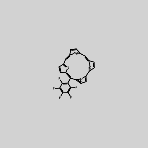 Fc1c(F)c(F)c(C2=C3C=CC(=N3)C=C3C=CC(=N3)C=C3C=CC(=N3)c3ccc2[nH]3)c(F)c1F